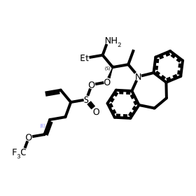 C=CC(C/C=C/OC(F)(F)F)S(=O)OO[C@@H](C(N)CC)C(C)N1c2ccccc2CCc2ccccc21